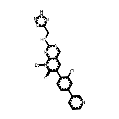 CCn1c(=O)c(-c2ccc(-c3cccnc3)cc2Cl)cc2cnc(NCc3nn[nH]n3)nc21